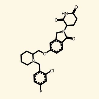 O=C1CCC(N2Cc3cc(OCC4CCCCN4Cc4ccc(F)cc4Cl)ccc3C2=O)C(=O)N1